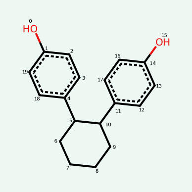 Oc1ccc(C2CCCCC2c2ccc(O)cc2)cc1